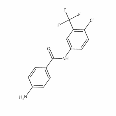 Nc1ccc(C(=O)Nc2ccc(Cl)c(C(F)(F)F)c2)cc1